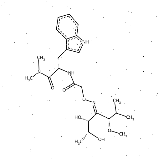 CO[C@H](/C(=N/OCC(=O)N[C@@H](Cc1c[nH]c2ccccc12)C(=O)N(C)C)[C@@H](O)[C@@H](C)O)C(C)C